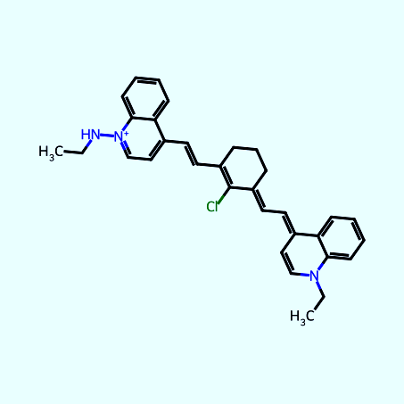 CCN[n+]1ccc(/C=C/C2=C(Cl)C(=C/C=C3\C=CN(CC)c4ccccc43)/CCC2)c2ccccc21